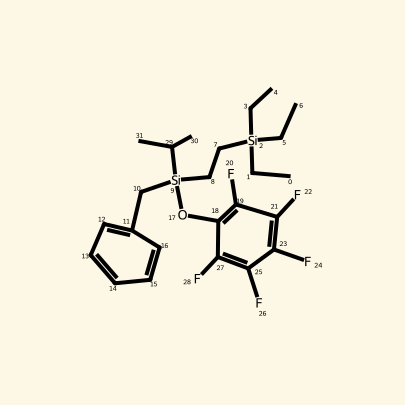 CC[Si](CC)(CC)CC[Si](Cc1ccccc1)(Oc1c(F)c(F)c(F)c(F)c1F)C(C)C